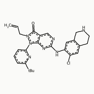 C=CCn1c(=O)c2cnc(Nc3cc4c(cc3Cl)CCNC4)nc2n1-c1cccc(C(C)(C)C)n1